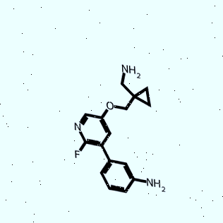 NCC1(COc2cnc(F)c(-c3cccc(N)c3)c2)CC1